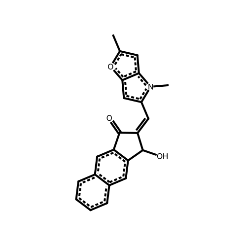 Cc1cc2c(cc(/C=C3\C(=O)c4cc5ccccc5cc4C3O)n2C)o1